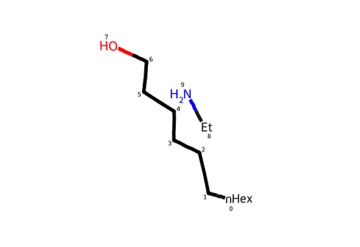 CCCCCCCCCCCCO.CCN